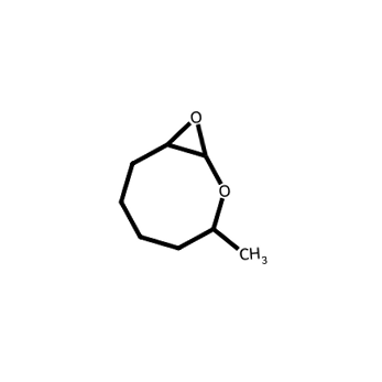 CC1CCCCC2OC2O1